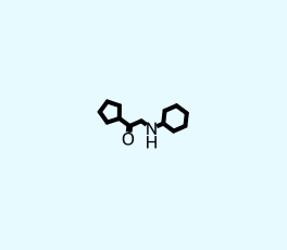 O=C(CNC1CCCCC1)C1CCCC1